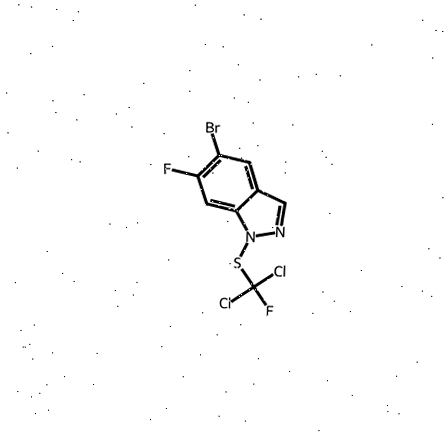 Fc1cc2c(cnn2SC(F)(Cl)Cl)cc1Br